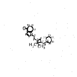 CC1(C)[C@@H](CCn2ccc3c2CCCC3=O)C[C@H]1CN1CCCCC1